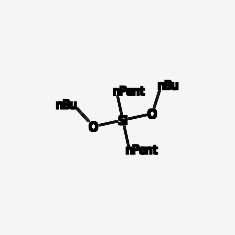 CCCCC[Si](CCCCC)(OCCCC)OCCCC